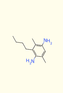 CCCCc1c(C)c(N)cc(C)c1N